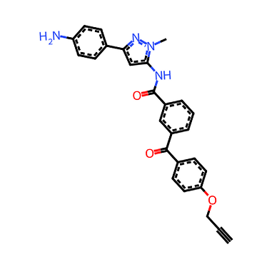 C#CCOc1ccc(C(=O)c2cccc(C(=O)Nc3cc(-c4ccc(N)cc4)nn3C)c2)cc1